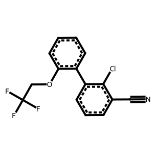 N#Cc1cccc(-c2ccccc2OCC(F)(F)F)c1Cl